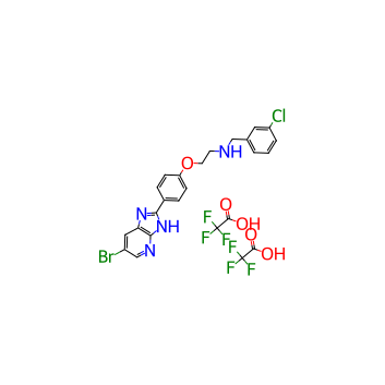 Clc1cccc(CNCCOc2ccc(-c3nc4cc(Br)cnc4[nH]3)cc2)c1.O=C(O)C(F)(F)F.O=C(O)C(F)(F)F